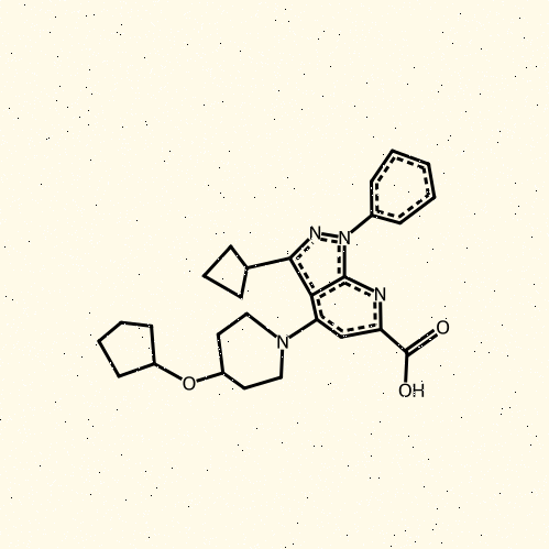 O=C(O)c1cc(N2CCC(OC3CCCC3)CC2)c2c(C3CCC3)nn(-c3ccccc3)c2n1